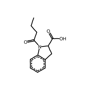 CCCC(=O)N1c2ccccc2CC1C(=O)O